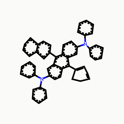 C1=CCCC(c2c3cc(N(c4ccccc4)c4ccccc4)ccc3c(-c3ccc4ccccc4c3)c3cc(N(c4ccccc4)c4ccccc4)ccc23)=C1